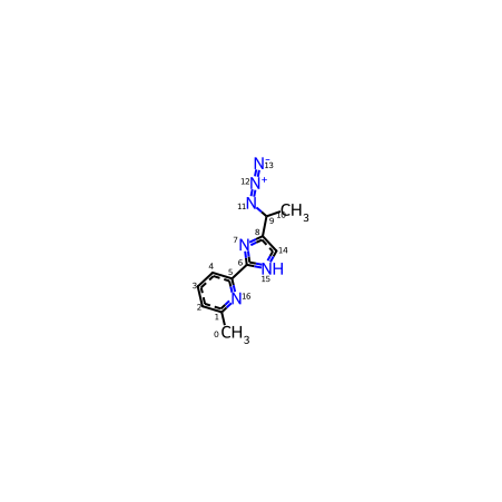 Cc1cccc(-c2nc(C(C)N=[N+]=[N-])c[nH]2)n1